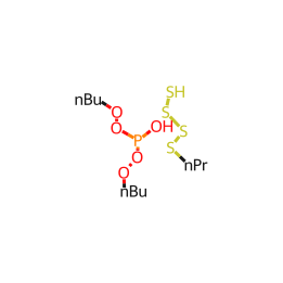 CCCCOOP(O)OOCCCC.CCCSSSS